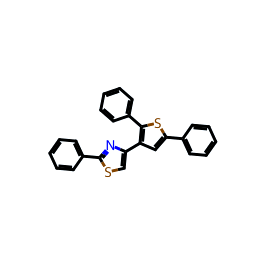 c1ccc(-c2cc(-c3csc(-c4ccccc4)n3)c(-c3ccccc3)s2)cc1